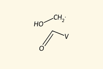 O=[CH][V].[CH2]O